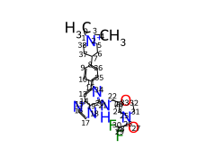 CC[N+]1(CC)CCC(c2ccc(-c3cc4nccnc4c(NC[C@@H]4CN(C(=O)C(F)F)CCO4)n3)cc2)CC1